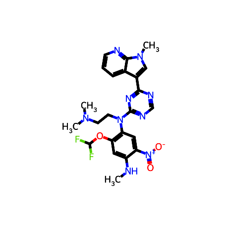 CNc1cc(OC(F)F)c(N(CCN(C)C)c2ncnc(-c3cn(C)c4ncccc34)n2)cc1[N+](=O)[O-]